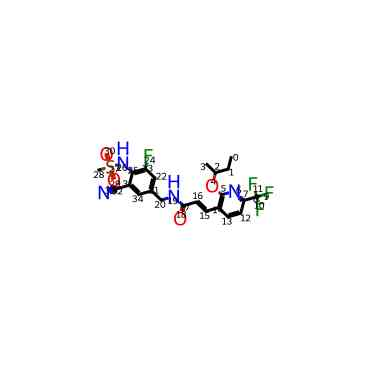 CCC(C)Oc1nc(C(F)(F)F)ccc1/C=C/C(=O)NCc1cc(F)c(NS(C)(=O)=O)c(C#N)c1